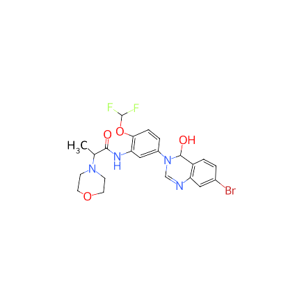 CC(C(=O)Nc1cc(N2C=Nc3cc(Br)ccc3C2O)ccc1OC(F)F)N1CCOCC1